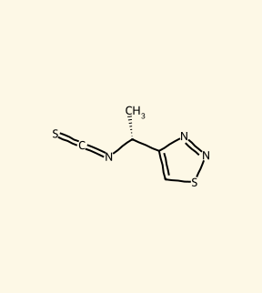 C[C@@H](N=C=S)c1csnn1